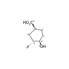 O=C(O)[C@H]1CC[C@@H](O)[C@H](F)C1